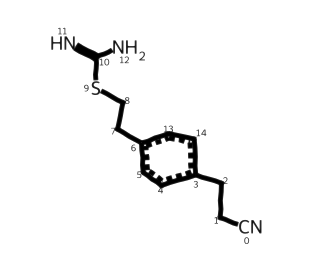 N#CCCc1ccc(CCSC(=N)N)cc1